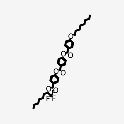 CCCCCCCCOc1ccc(C(=O)Oc2ccc(C(=O)Oc3ccc(C(=O)OC(CCCCCC)C(F)(F)F)cc3)cc2)cc1